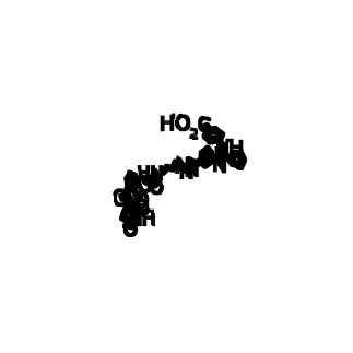 O=C(COc1cccc2c1C(=O)N(C1CCC(=O)NC1=O)C2=O)NCCCCn1cc(-c2ccn3c(Nc4ccc(C(=O)O)cc4)c(-c4ccccc4)nc3c2)nn1